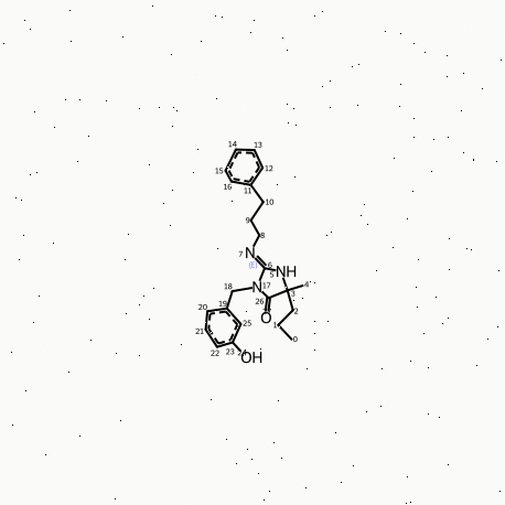 CCCC1(C)N/C(=N\CCCc2ccccc2)N(Cc2cccc(O)c2)C1=O